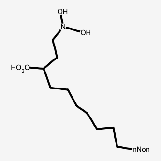 CCCCCCCCCCCCCCCCC(CCN(O)O)C(=O)O